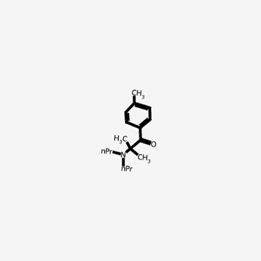 CCCN(CCC)C(C)(C)C(=O)c1ccc(C)cc1